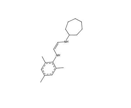 Cc1cc(C)c(N/C=C\NC2CCCCCC2)c(C)c1